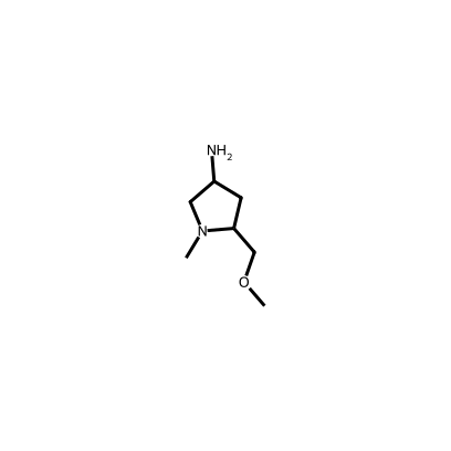 COCC1CC(N)CN1C